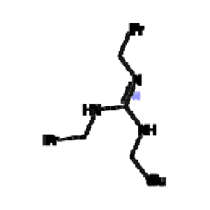 CC(C)C/N=C(\NCC(C)C)NCC(C)(C)C